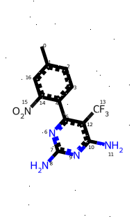 Cc1ccc(-c2nc(N)nc(N)c2C(F)(F)F)c([N+](=O)[O-])c1